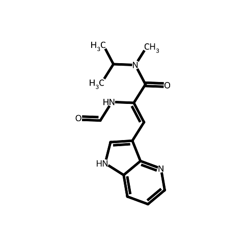 CC(C)N(C)C(=O)/C(=C/c1c[nH]c2cccnc12)NC=O